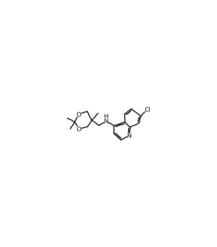 CC1(CNc2ccnc3cc(Cl)ccc23)COC(C)(C)OC1